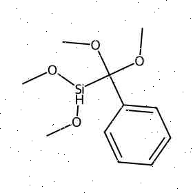 CO[SiH](OC)C(OC)(OC)c1ccccc1